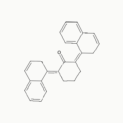 O=C1/C(=C2/CC=Cc3ccccc32)CCC/C1=C1/CC=Cc2ccccc21